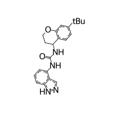 CC(C)(C)c1ccc2c(c1)OCCC2NC(=O)Nc1cccc2[nH]ncc12